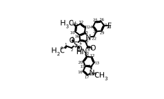 C=CCS(=O)(=O)c1c(C(=O)Nc2ccc3c(ccn3C)c2)n(Cc2cccc(F)c2)c2ccc(C)cc12